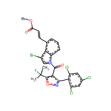 CC(C)(C)OC(=O)/C=C/c1cccc2c1c(Br)cn2C(=O)c1c(-c2c(Cl)cc(Cl)cc2Cl)noc1C(C)(C)F